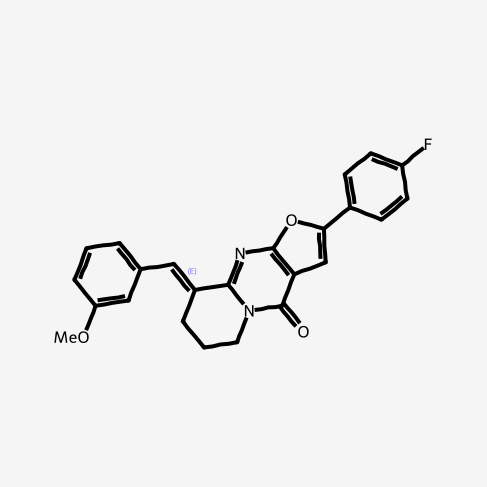 COc1cccc(/C=C2\CCCn3c2nc2oc(-c4ccc(F)cc4)cc2c3=O)c1